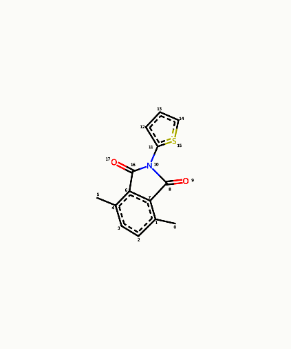 Cc1ccc(C)c2c1C(=O)N(c1cccs1)C2=O